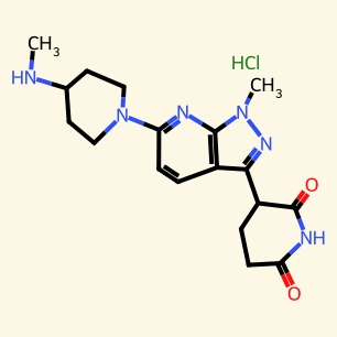 CNC1CCN(c2ccc3c(C4CCC(=O)NC4=O)nn(C)c3n2)CC1.Cl